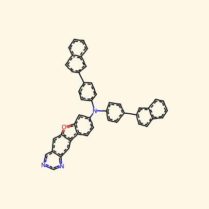 c1ccc2cc(-c3ccc(N(c4ccc(-c5ccc6ccccc6c5)cc4)c4ccc5c(c4)oc4cc6cncnc6cc45)cc3)ccc2c1